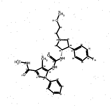 CNC(=O)c1nn(-c2ccccc2)c(NC(=O)N[C@@H]2CN(CCOC)C[C@H]2c2ccc(F)cc2)c1C